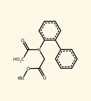 CC(C)(C)OC(=O)CN(C(=O)C(=O)O)c1ccccc1-c1ccccc1